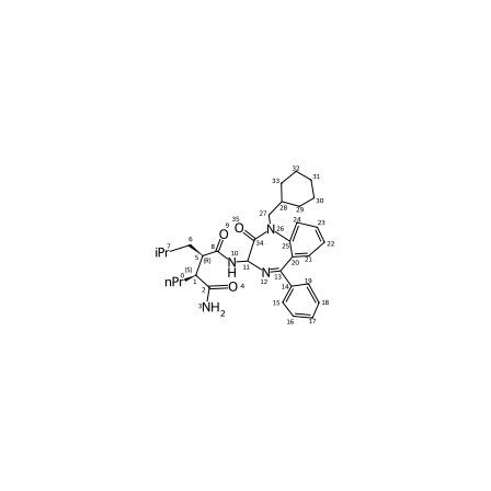 CCC[C@H](C(N)=O)[C@@H](CC(C)C)C(=O)NC1N=C(c2ccccc2)c2ccccc2N(CC2CCCCC2)C1=O